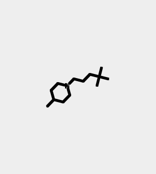 CC1CCN(CCCC(C)(C)C)CC1